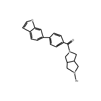 CC(=O)N1CC2CN(C(=O)c3ccc(-c4ccc5ccoc5c4)cc3)CC2C1